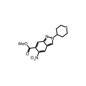 COC(=O)c1cc2nn(C3CCSCC3)cc2cc1[N+](=O)[O-]